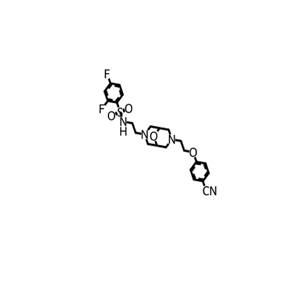 N#Cc1ccc(OCCN2CC3CN(CCNS(=O)(=O)c4ccc(F)cc4F)CC(C2)O3)cc1